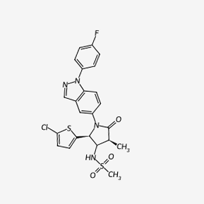 C[C@@H]1C(=O)N(c2ccc3c(cnn3-c3ccc(F)cc3)c2)[C@H](c2ccc(Cl)s2)C1NS(C)(=O)=O